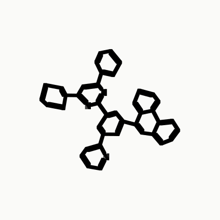 c1ccc(-c2cc(-c3ccccc3)nc(-c3cc(-c4ccccn4)cc(-c4cc5ccccc5c5ccccc45)c3)n2)cc1